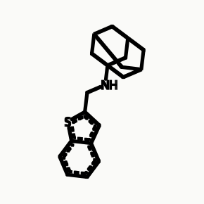 c1ccc2sc(CNC34CC5CC(CC(C5)C3)C4)cc2c1